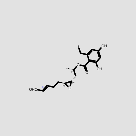 C[C@@H](C[C@@H]1O[C@H]1CC/C=C/C=O)OC(=O)c1c(O)cc(O)cc1CI